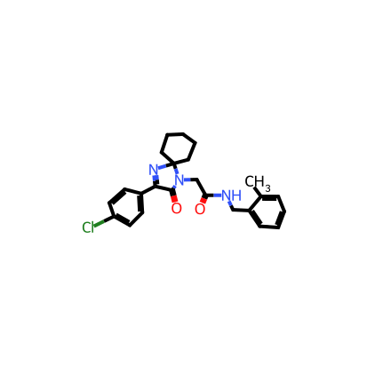 Cc1ccccc1CNC(=O)CN1C(=O)C(c2ccc(Cl)cc2)=NC12CCCCC2